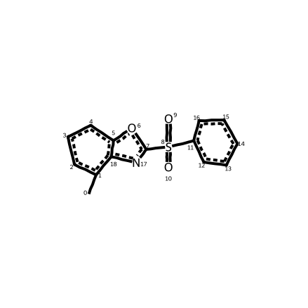 Cc1cccc2oc(S(=O)(=O)c3ccccc3)nc12